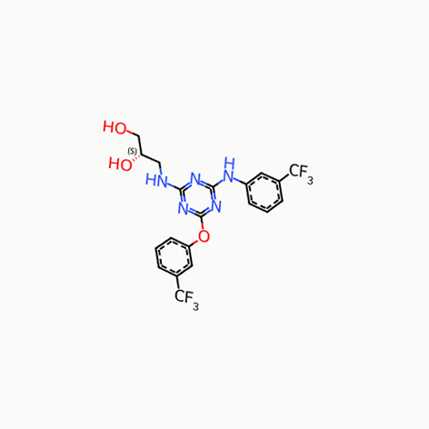 OC[C@@H](O)CNc1nc(Nc2cccc(C(F)(F)F)c2)nc(Oc2cccc(C(F)(F)F)c2)n1